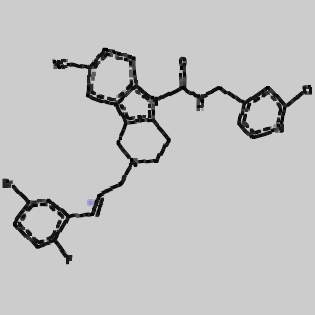 N#Cc1ccc2c(c1)c1c(n2C(=O)NCc2ccnc(Cl)c2)CCN(C/C=C/c2cc(Br)ccc2F)C1